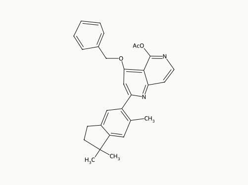 CC(=O)Oc1nccc2nc(-c3cc4c(cc3C)C(C)(C)CC4)cc(OCc3ccccc3)c12